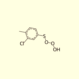 Cc1ccc(SOOO)cc1Cl